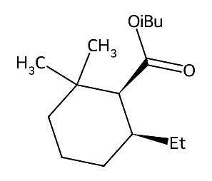 CC[C@H]1CCCC(C)(C)[C@H]1C(=O)OCC(C)C